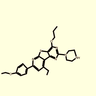 CCCOc1nc(N2CCNCC2)nc2c1sc1nc(-c3ccc(OCC)cc3)cc(CC)c12